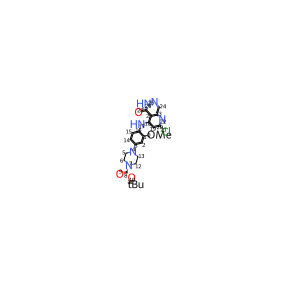 COc1cc(N2CCN(C(=O)OC(C)(C)C)CC2)ccc1Nc1cc(Cl)nc2cn[nH]c(=O)c12